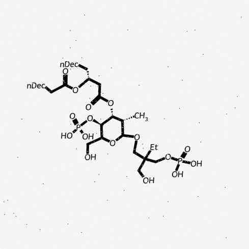 CCCCCCCCCCCC(=O)O[C@H](CCCCCCCCCCC)CC(=O)O[C@@H]1[C@H](C)C(OCC(CC)(CO)COP(=O)(O)O)OC(CO)[C@H]1OP(=O)(O)O